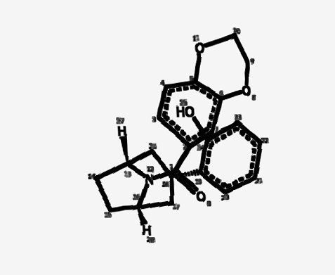 O=C(c1ccc2c(c1)OCCO2)N1[C@@H]2CC[C@H]1C[C@@H](c1ccccc1O)C2